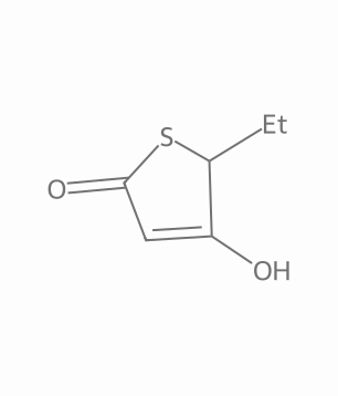 CCC1SC(=O)C=C1O